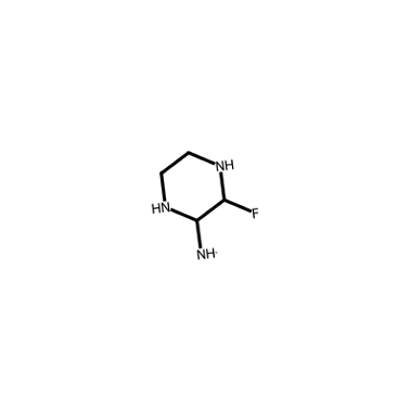 [NH]C1NCCNC1F